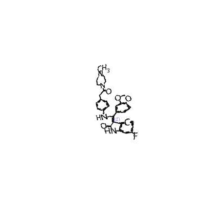 CN1CCN(C(=O)Cc2ccc(N/C(=C3\C(=O)Nc4cc(F)ccc43)c3ccc4c(c3)OCO4)cc2)CC1